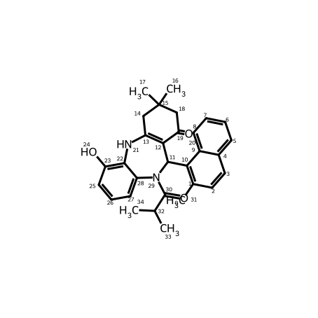 Cc1ccc2ccccc2c1C1C2=C(CC(C)(C)CC2=O)Nc2c(O)cccc2N1C(=O)C(C)C